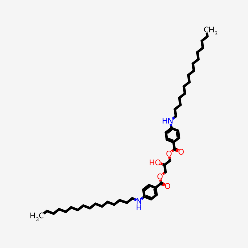 CCCCCCCCCCCCCCCCNc1ccc(C(=O)OCC(O)COC(=O)c2ccc(NCCCCCCCCCCCCCCCC)cc2)cc1